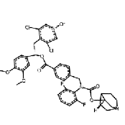 COc1ccc([C@H](Cc2c(Cl)c[n+]([O-])cc2Cl)OC(=O)c2ccc(CN(C(=O)O[C@H]3CN4CCC3CC4)c3c(F)cccc3F)cc2)cc1OC